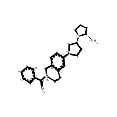 C[C@H]1CCCN1[C@H]1CCN(c2ccc3c(c2)CCN(C(=O)c2ccccc2)C3)C1